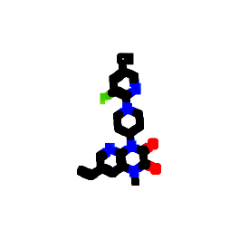 C=Cc1cnc2c(c1)n(C)c(=O)c(=O)n2C1CCN(c2ncc(C#N)cc2F)CC1